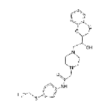 CCSc1ccc(NC(=O)CN2CCN(CC(O)C3COc4ccccc4O3)CC2)cc1